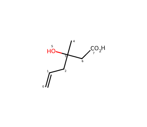 C=CCC(C)(O)CC(=O)O